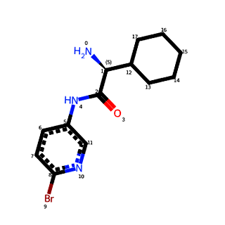 N[C@H](C(=O)Nc1ccc(Br)nc1)C1CCCCC1